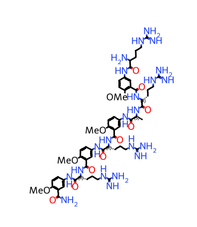 COc1ccc(NC(=O)[C@@H](CCCNC(=N)N)NC(=O)c2cc(NC(=O)[C@@H](CCCNC(=N)N)NC(=O)c3cc(NC(=O)[C@H](C)NC(=O)[C@@H](CCCNC(=N)N)NC(=O)c4cc(NC(=O)C(N)CCCNC(=N)N)ccc4OC)ccc3OC)ccc2OC)cc1C(N)=O